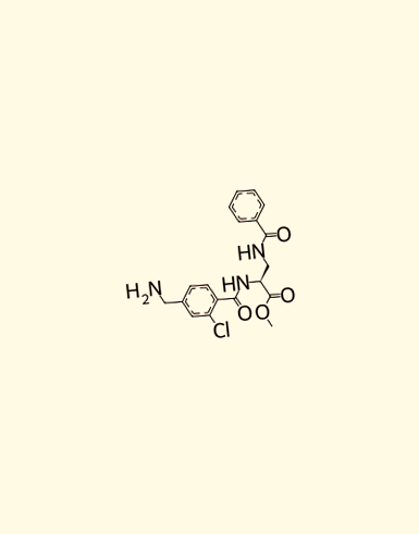 COC(=O)[C@H](CNC(=O)c1ccccc1)NC(=O)c1ccc(CN)cc1Cl